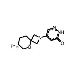 O=c1cc(N2CC3(CC[C@@H](F)CO3)C2)cn[nH]1